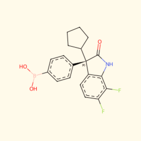 O=C1Nc2c(ccc(F)c2F)[C@]1(c1ccc(B(O)O)cc1)C1CCCC1